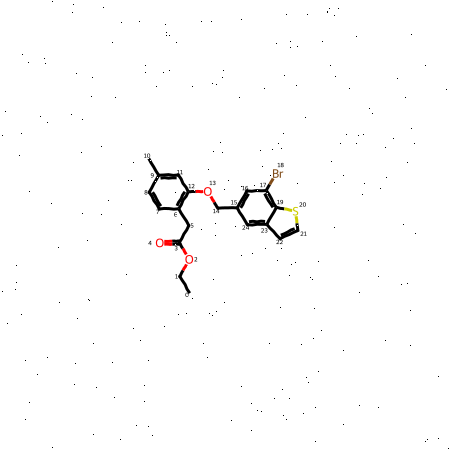 CCOC(=O)Cc1ccc(C)cc1OCc1cc(Br)c2sccc2c1